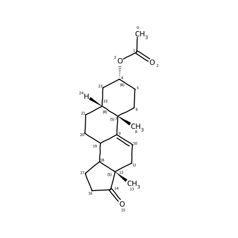 CC(=O)O[C@@H]1CC[C@]2(C)C3=CC[C@]4(C)C(=O)CCC4C3CC[C@@H]2C1